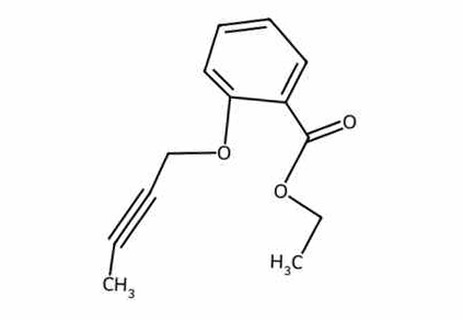 CC#CCOc1ccccc1C(=O)OCC